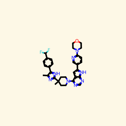 Cc1nc(C2(C)CCN(c3ncnc4[nH]c(-c5ccc(N6CCOCC6)nc5)cc34)CC2)[nH]c1-c1ccc(C(F)F)cc1